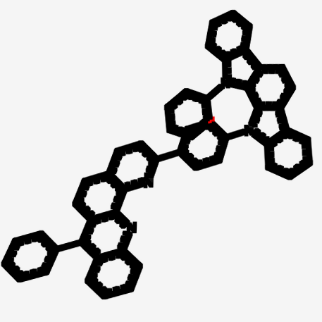 c1ccc(-c2c3ccccc3nc3c2ccc2ccc(-c4ccc(-n5c6ccccc6c6ccc7c8ccccc8n(-c8ccccc8)c7c65)cc4)nc23)cc1